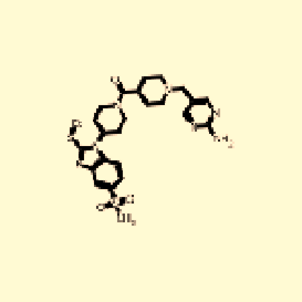 CCSc1nc2cc(S(C)(=O)=O)ccc2n1C1CCN(C(=O)C2CCN(Cc3cnc(N)nc3)CC2)CC1